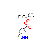 O=C(OOC(C(F)(F)F)C(F)(F)F)c1ccc2c(c1)NCC2